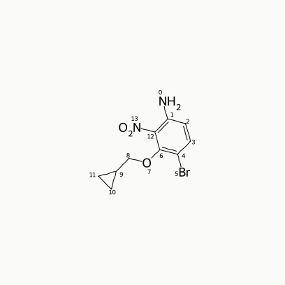 Nc1ccc(Br)c(OCC2CC2)c1[N+](=O)[O-]